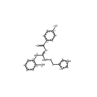 O=C(/N=C(/NCCc1c[nH]cn1)Nc1ccccc1O)c1ccc(Cl)cc1